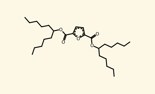 CCCCCC(CCCCC)OC(=O)c1ccc(C(=O)OC(CCCCC)CCCCC)o1